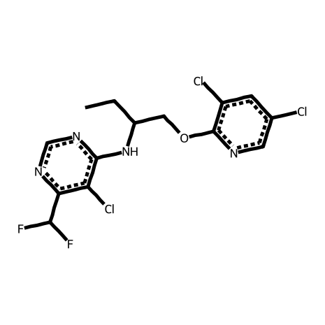 CCC(COc1ncc(Cl)cc1Cl)Nc1ncnc(C(F)F)c1Cl